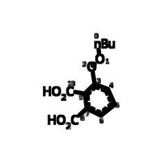 CCCCOOc1cccc(C(=O)O)c1C(=O)O